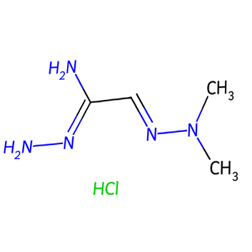 CN(C)N=CC(N)=NN.Cl